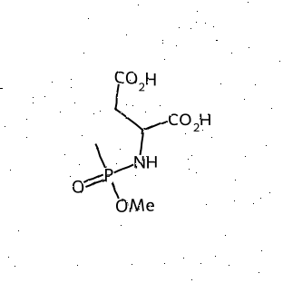 COP(C)(=O)NC(CC(=O)O)C(=O)O